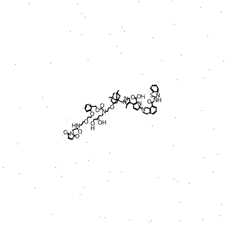 Cc1c(-c2ccc(N3CCc4cccc(C(=O)Nc5nc6ccccc6s5)c4C3)nc2C(=O)O)cnn1CC12CC3(C)CC(C)(C1)CC(OCCN(CC[C@H](O)CO)C(=O)OCc1cc[c]cc1OCCOCCNC(=O)CN1C(=O)C=CC1=O)(C3)C2